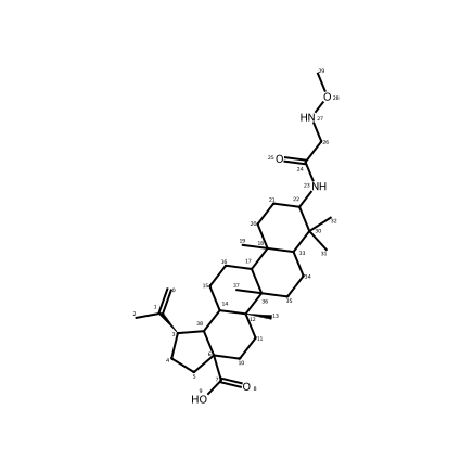 C=C(C)[C@@H]1CCC2(C(=O)O)CC[C@]3(C)C(CCC4C5(C)CCC(NC(=O)CNOC)C(C)(C)C5CCC43C)C12